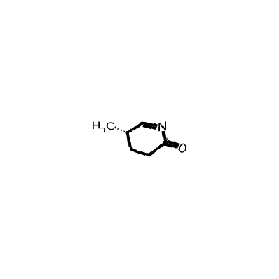 C[C@@H]1C=NC(=O)CC1